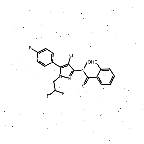 CN(C(=O)c1ccccc1C=O)c1nn(CC(F)F)c(-c2ccc(F)cc2)c1Cl